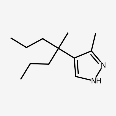 CCCC(C)(CCC)c1c[nH]nc1C